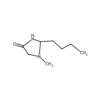 CCCCC1NC(=O)CN1C